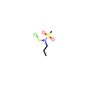 CCCN(SCl)S(C)(=O)=O